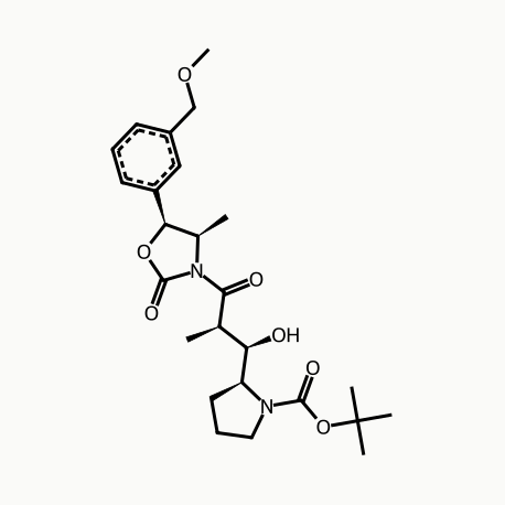 COCc1cccc([C@@H]2OC(=O)N(C(=O)[C@H](C)[C@@H](O)[C@@H]3CCCN3C(=O)OC(C)(C)C)[C@@H]2C)c1